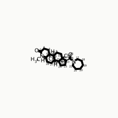 CN1C(=O)CC[C@]2(C)[C@H]3CC[C@]4(C)[C@@H](C(=O)N5CCCCCC5)CC[C@H]4[C@@H]3CC[C@@H]12